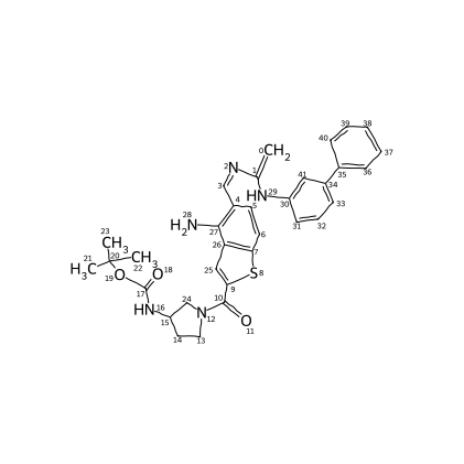 C=C(/N=C\c1ccc2sc(C(=O)N3CCC(NC(=O)OC(C)(C)C)C3)cc2c1N)Nc1cccc(-c2ccccc2)c1